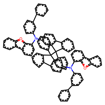 c1ccc(-c2cccc(N(c3ccc4c(c3)C(c3ccccc3)(C3(c5ccccc5)c5ccccc5-c5ccc(N(c6cccc(-c7ccccc7)c6)c6cccc7c6oc6ccccc67)cc53)c3ccccc3-4)c3cccc4c3oc3ccccc34)c2)cc1